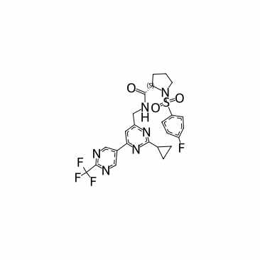 O=C(NCc1cc(-c2cnc(C(F)(F)F)nc2)nc(C2CC2)n1)[C@@H]1CCCN1S(=O)(=O)c1ccc(F)cc1